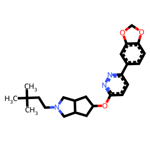 CC(C)(C)CCN1CC2CC(Oc3ccc(-c4ccc5c(c4)OCO5)nn3)CC2C1